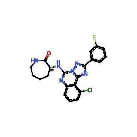 O=C1NCCCC[C@H]1Nc1nc2cccc(Cl)c2c2nc(-c3cccc(F)c3)nn12